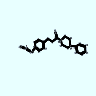 [N-]=[N+]=Nc1ccc(CCC(=O)N2CCN(c3ccccc3)CC2)cc1